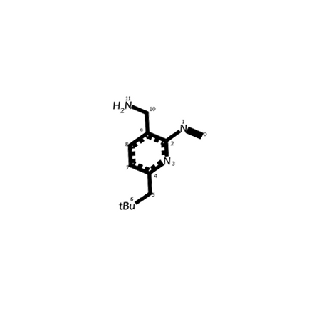 C=Nc1nc(CC(C)(C)C)ccc1CN